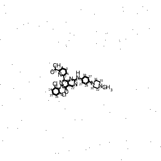 CC(=O)c1cccc(-c2nn(-c3c(Cl)cccc3Cl)c(=O)c3cnc(Nc4ccc(N5CCN(C)CC5)cc4)nc23)n1